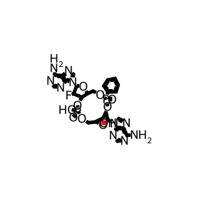 Nc1ncnc2c1ncn2C1OC2COP(=O)(c3ccccc3)OC3C(O)C(COP(=O)(O)OC2C1F)OC3n1cnc2c(N)ncnc21